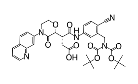 CC(C)(C)OC(=O)N(Cc1cc(NC(=O)[C@H](CC(=O)O)[C@H]2OCCN(c3ccc4cccnc4c3)C2=O)ccc1C#N)C(=O)OC(C)(C)C